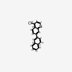 Clc1ccnc2cc(-c3ccc4ccccc4c3)ccc12